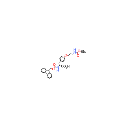 CC(C)(C)OC(=O)NCCCOc1ccc(C[C@@H](NC(=O)OCC2c3ccccc3-c3ccccc32)C(=O)O)cc1